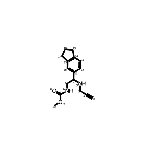 C#CCNC(CNC(=O)OC)c1ccc2c(c1)CCC2